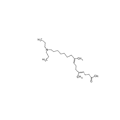 CCCN(CCC)CCCCCCCC(C)=CCCC(C)=CCCC(=O)O